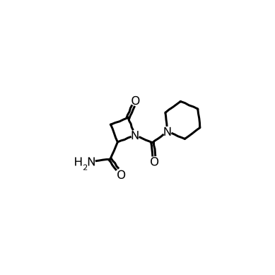 NC(=O)C1CC(=O)N1C(=O)N1CCCCC1